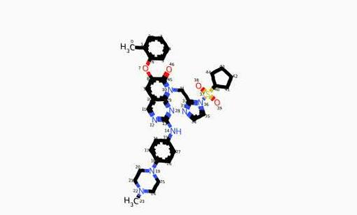 Cc1ccccc1Oc1cc2cnc(Nc3ccc(N4CCN(C)CC4)cc3)nc2n(Cc2nccn2S(=O)(=O)C2CCCC2)c1=O